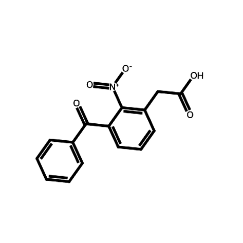 O=C(O)Cc1cccc(C(=O)c2ccccc2)c1[N+](=O)[O-]